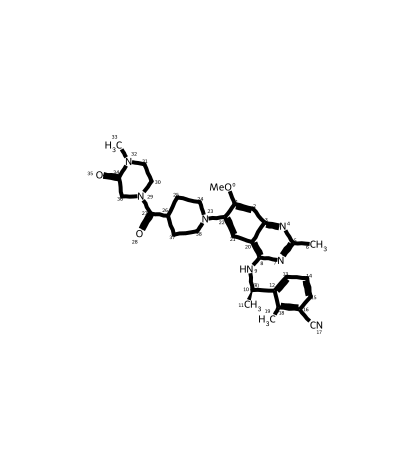 COc1cc2nc(C)nc(N[C@H](C)c3cccc(C#N)c3C)c2cc1N1CCC(C(=O)N2CCN(C)C(=O)C2)CC1